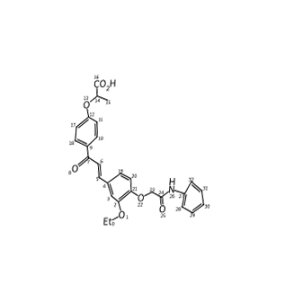 CCOc1cc(/C=C/C(=O)c2ccc(OC(C)C(=O)O)cc2)ccc1OCC(=O)Nc1ccccc1